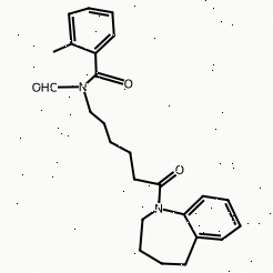 Cc1ccccc1C(=O)N(C=O)CCCCCC(=O)N1CCCCc2ccccc21